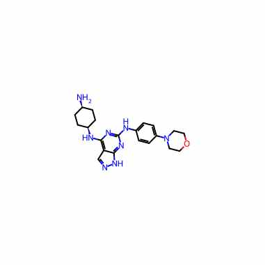 N[C@H]1CC[C@@H](Nc2nc(Nc3ccc(N4CCOCC4)cc3)nc3[nH]ncc23)CC1